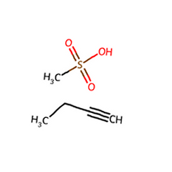 C#CCC.CS(=O)(=O)O